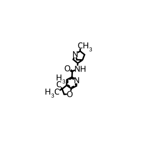 CC1CC2CN1CC2NC(=O)c1cc2c(cn1)OCC2(C)C